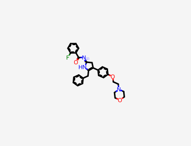 O=C(/N=C1/CC(c2ccc(OCCN3CCOCC3)cc2)=C(Cc2ccccc2)N1)c1ccccc1F